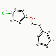 Clc1ccc(O[CH]Cc2ccccc2)cc1